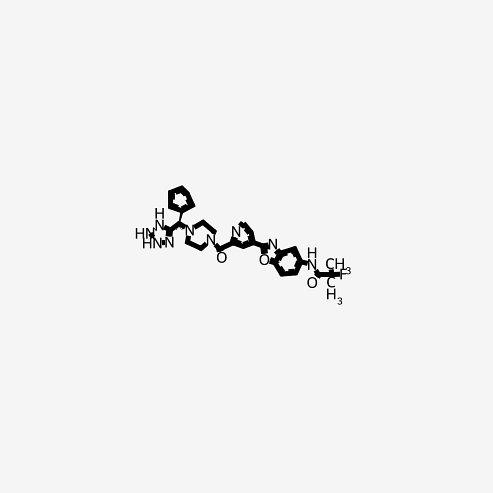 CC(C)(F)C(=O)Nc1ccc2oc(-c3ccnc(C(=O)N4CCN([C@@H](C5=NNNN5)c5ccccc5)CC4)c3)nc2c1